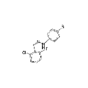 Fc1cccc(Cl)c1/C=N\Nc1ccc(Br)cc1